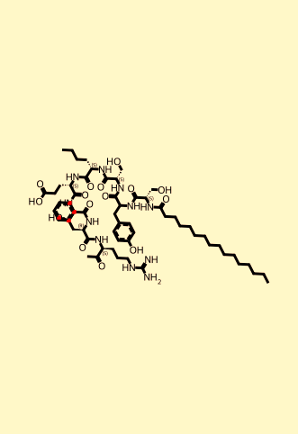 CCCCCCCCCCCCCCCC(=O)N[C@@H](CO)C(=O)NC(Cc1ccc(O)cc1)C(=O)N[C@@H](CO)C(=O)N[C@@H](CCCC)C(=O)N[C@@H](CCC(=O)O)C(=O)NC(CO)C(=O)N[C@H](Cc1ccccc1)C(=O)N[C@@H](CCCNC(=N)N)C(C)=O